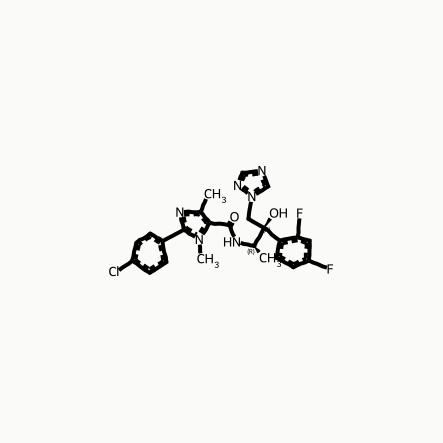 Cc1nc(-c2ccc(Cl)cc2)n(C)c1C(=O)N[C@H](C)[C@](O)(Cn1cncn1)c1ccc(F)cc1F